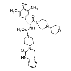 C=C(N[C@H](Cc1cc(C)c(O)c(C)c1)C(=O)N1CCN(C2CCOCC2)CC1)N1CCC(N2CCc3ccccc3NC2=O)CC1